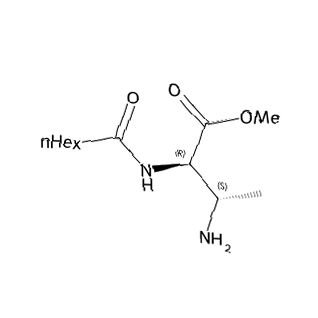 CCCCCCC(=O)N[C@@H](C(=O)OC)[C@H](C)N